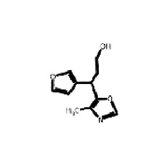 Cc1ncoc1C(CCO)c1ccoc1